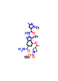 CCCn1c(NC(=O)c2cc(C)nn2CC)nc2cc(C(N)=O)cc(OC(C)C3CN(C(=O)OC(C)(C)C)C3)c21